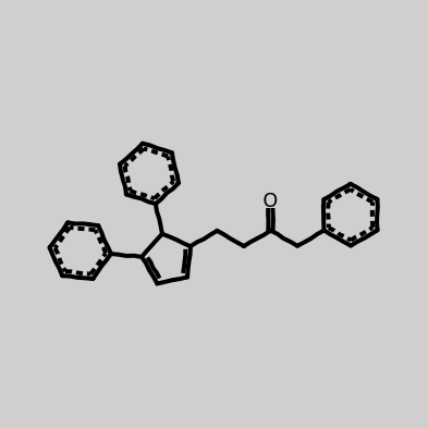 O=C(CCC1=CC=C(c2ccccc2)C1c1ccccc1)Cc1ccccc1